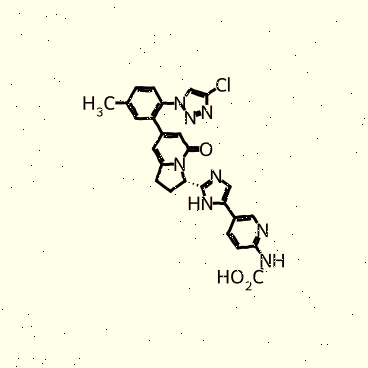 Cc1ccc(-n2cc(Cl)nn2)c(-c2cc3n(c(=O)c2)[C@H](c2ncc(-c4ccc(NC(=O)O)nc4)[nH]2)CC3)c1